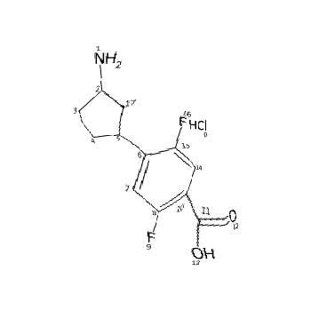 Cl.NC1CCC(c2cc(F)c(C(=O)O)cc2F)C1